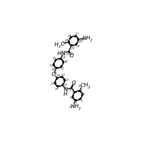 Cc1ccc(N)cc1C(=O)Nc1ccc(Oc2ccc(NC(=O)c3cc(N)ccc3C)cc2)cc1